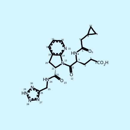 O=C(O)CC[C@H](NC(=O)CC1CC1)C(=O)N1c2ncccc2C[C@H]1C(=O)NCc1nn[nH]n1